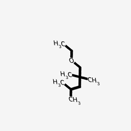 CCOCC(C)(C)C[C](C)C